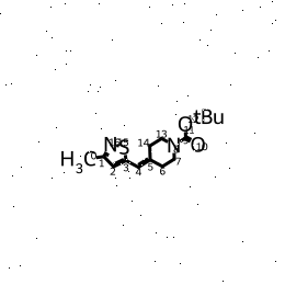 Cc1cc(C=C2CCN(C(=O)OC(C)(C)C)CC2)sn1